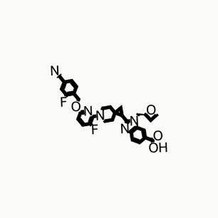 N#Cc1ccc(COc2ccc(F)c(N3CCC4(CC3)CC4c3nc4ccc(C(=O)O)cc4n3C[C@@H]3CCO3)n2)c(F)c1